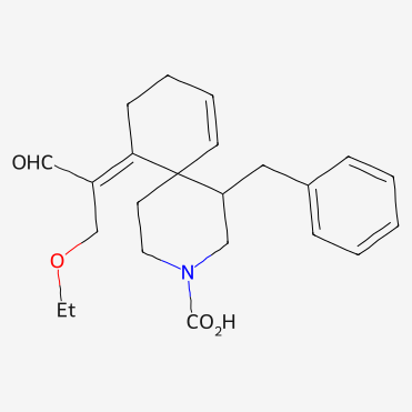 CCOCC(C=O)=C1CCC=CC12CCN(C(=O)O)CC2Cc1ccccc1